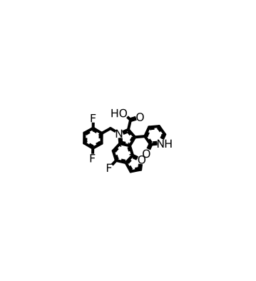 O=C(O)c1c(-c2ccc[nH]c2=O)c2c3occc3c(F)cc2n1Cc1cc(F)ccc1F